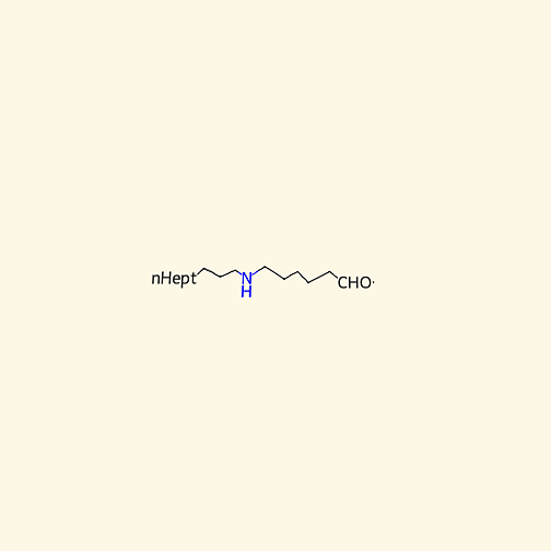 CCCCCCCCCCNCCCCC[C]=O